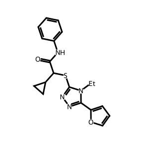 CCn1c(SC(C(=O)Nc2ccccc2)C2CC2)nnc1-c1ccco1